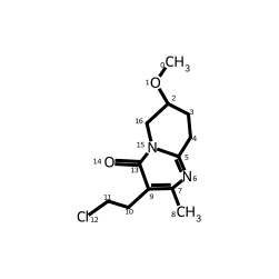 COC1CCc2nc(C)c(CCCl)c(=O)n2C1